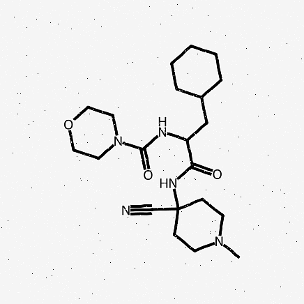 CN1CCC(C#N)(NC(=O)C(CC2CCCCC2)NC(=O)N2CCOCC2)CC1